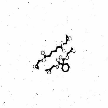 O=C(CCCCC(=O)OCC1CO1)OCC1CO1.O=C(OCC1CO1)C1(C(=O)OCC2CO2)CCCCC1